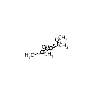 C=CC(=O)OCC(CC)CSc1ccc2cc(-c3ccc(CCCCC)cc3C)c(=O)oc2c1